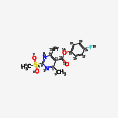 Cc1nc(S(C)(=O)=O)nc(C(C)C)c1C(=O)Oc1ccc(F)cc1